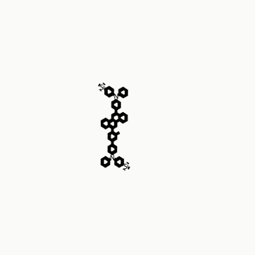 Cc1cc(-c2ccc(N(c3ccccc3)c3ccc([Si](C)(C)C)cc3)cc2)ccc1-c1cc2c3ccccc3c(-c3ccc(N(c4ccccc4)c4ccc([Si](C)(C)C)cc4)cc3)cc2c2ccccc12